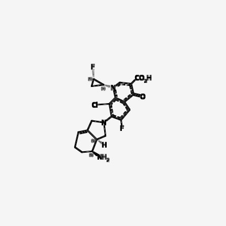 N[C@H]1CCC=C2CN(c3c(F)cc4c(=O)c(C(=O)O)cn([C@@H]5C[C@@H]5F)c4c3Cl)C[C@H]21